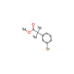 [2H]OC(=O)C([2H])([2H])c1cccc(Br)c1